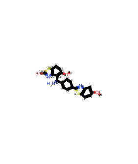 COc1ccc2sc(-c3ccc(C(N)c4c(OC)ccc5sc(Br)nc45)cc3)nc2c1